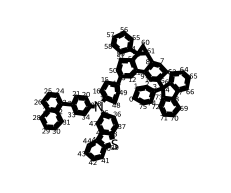 c1ccc(C2(c3ccc4c(c3)-c3cc(-c5ccc(N(c6ccc(-c7cccc8ccccc78)cc6)c6ccc7sc8ccccc8c7c6)cc5)ccc3C3(c5ccccc5)CC43)c3ccccc3-c3ccccc32)cc1